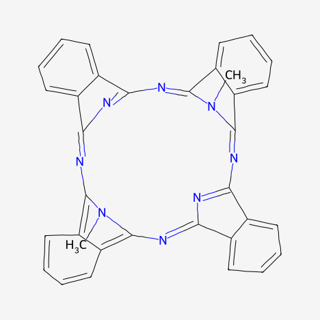 Cn1c2nc3nc(nc4c5ccccc5c(nc5nc(nc1c1ccccc12)-c1ccccc1-5)n4C)-c1ccccc1-3